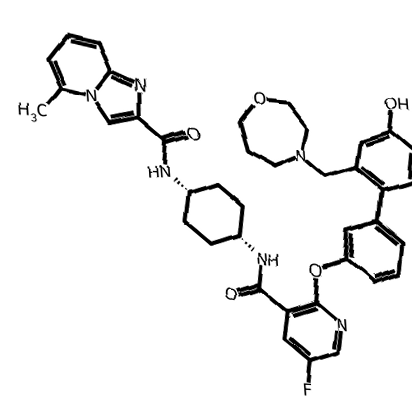 Cc1cccc2nc(C(=O)N[C@H]3CC[C@@H](NC(=O)c4cc(F)cnc4Oc4cccc(-c5ccc(O)cc5CN5CCCOCC5)c4)CC3)cn12